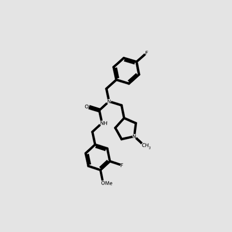 COc1ccc(CNC(=O)N(Cc2ccc(F)cc2)CC2CCN(C)C2)cc1F